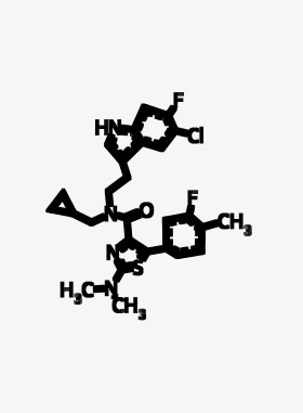 Cc1ccc(-c2sc(N(C)C)nc2C(=O)N(CCc2c[nH]c3cc(F)c(Cl)cc23)CC2CC2)cc1F